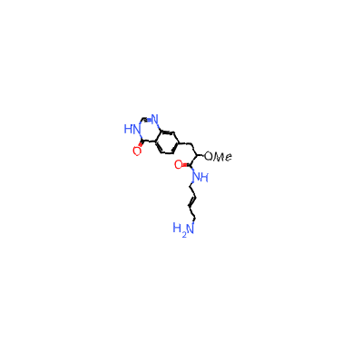 COC(Cc1ccc2c(=O)[nH]cnc2c1)C(=O)NCC=CCN